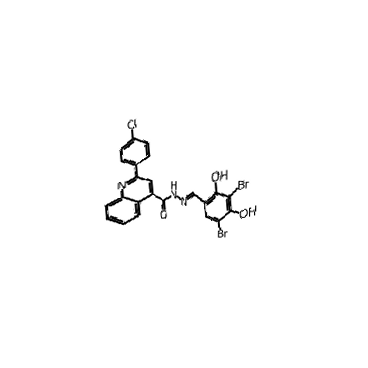 O=C(N/N=C/c1cc(Br)c(O)c(Br)c1O)c1cc(-c2ccc(Cl)cc2)nc2ccccc12